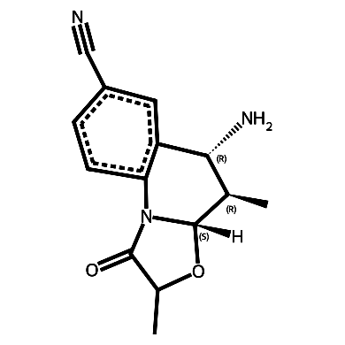 CC1O[C@H]2[C@H](C)[C@@H](N)c3cc(C#N)ccc3N2C1=O